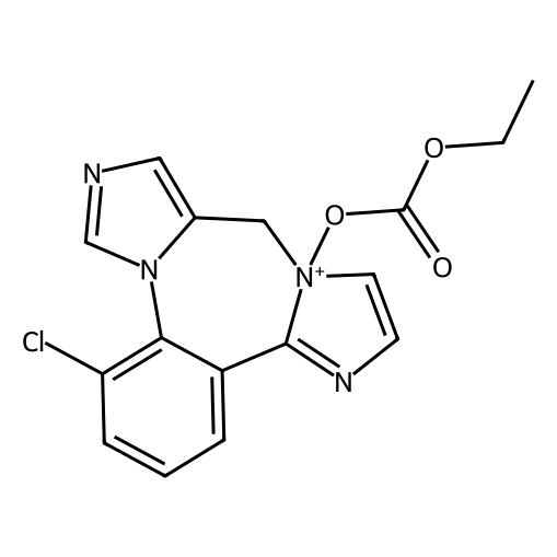 CCOC(=O)O[N+]12C=CN=C1c1cccc(Cl)c1-n1cncc1C2